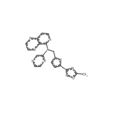 FC(F)(F)c1nc(-c2ccc(CN(c3cnccn3)c3nccc4nccnc34)s2)no1